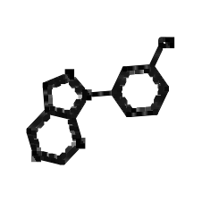 N#Cc1cccc(-n2ncc3cncnc32)c1